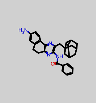 Nc1ccc2c(c1)CCc1nc(NC(=O)c3ccccc3)c(CC34CC5CC(CC(C5)C3)C4)nc1-2